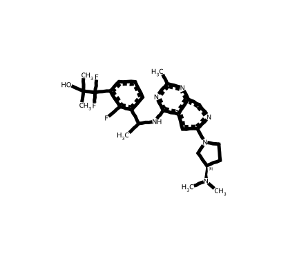 Cc1nc(NC(C)c2cccc(C(F)(F)C(C)(C)O)c2F)c2cc(N3CC[C@@H](N(C)C)C3)ncc2n1